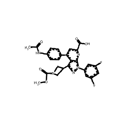 COC(=O)N1CC(c2nn(-c3cc(F)cc(F)c3)c3nc(C(=O)O)cc(-c4ccc(NC(C)=O)cc4)c23)C1